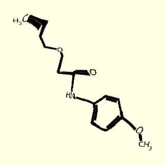 C=CCOCC(=O)Nc1ccc(OC)cc1